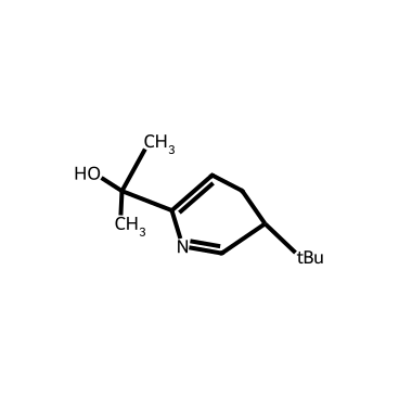 CC(C)(O)C1=CCC(C(C)(C)C)C=N1